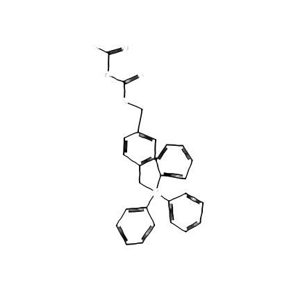 N=C(N)NC(=N)NCc1ccc(C[PH](c2ccccc2)(c2ccccc2)c2ccccc2)cc1